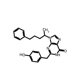 CC(CCCc1ccccc1)n1cnc2c(=O)[nH]c(Cc3ccc(O)cc3)nc21